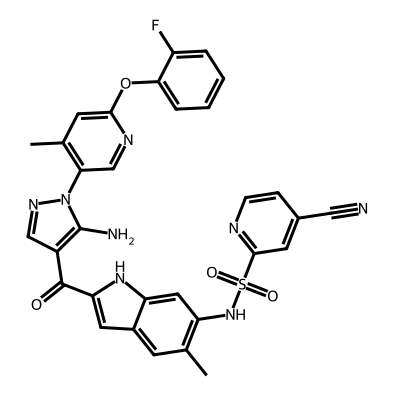 Cc1cc2cc(C(=O)c3cnn(-c4cnc(Oc5ccccc5F)cc4C)c3N)[nH]c2cc1NS(=O)(=O)c1cc(C#N)ccn1